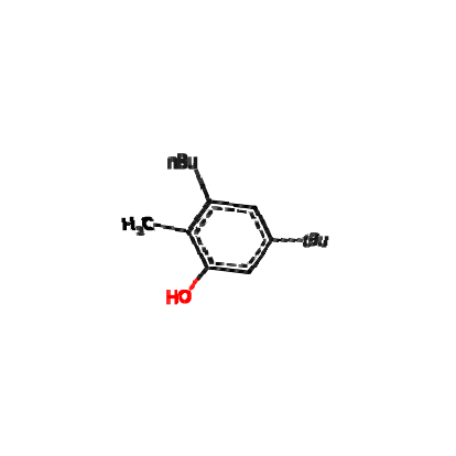 CCCCc1cc(C(C)(C)C)cc(O)c1C